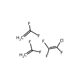 C=C(F)F.C=C(F)F.FC(F)=C(F)Cl